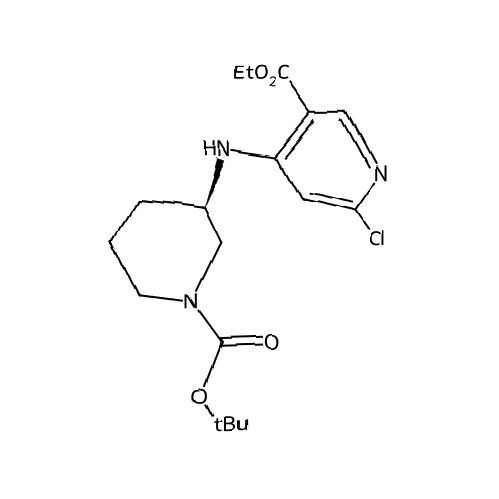 CCOC(=O)c1cnc(Cl)cc1N[C@@H]1CCCN(C(=O)OC(C)(C)C)C1